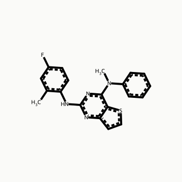 Cc1cc(F)ccc1Nc1nc(N(C)c2ccccc2)c2sccc2n1